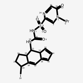 CC(C)n1cc(S(=O)(=O)NC(=O)NC2C3C=CC=C3C=C3C(I)CCC32)ncc1=O